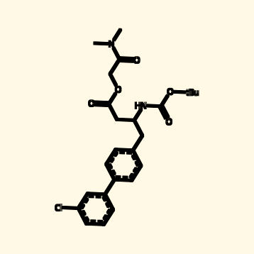 CN(C)C(=O)COC(=O)CC(Cc1ccc(-c2cccc(Cl)c2)cc1)NC(=O)OC(C)(C)C